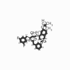 CC(C)(C)Oc1ccc2c(c1)[C@@H](NC[C@@H](O)[C@H](Cc1cc(F)cc(F)c1)NC(=O)Cc1ccccc1)CS(=O)(=O)C2